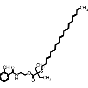 CCC=CCC=CCC=CCC=CCC=CCCSC(CC)(CC)C(=O)OCCNC(=O)c1ccccc1O